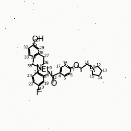 CCN(C(=O)c1ccc(OCCN2CCCC2)cc1)c1cc(F)ccc1N1CCc2cc(O)ccc2C1